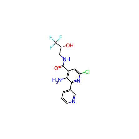 Nc1c(C(=O)NC[C@@H](O)C(F)(F)F)cc(Cl)nc1-c1cccnc1